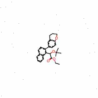 CCOC(=O)C(OC(C)(C)C)c1c(-c2ccc3c(c2)CCCO3)ccc2ccccc12